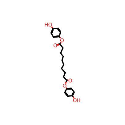 O=C(CCCCCCCCC(=O)Oc1ccc(O)cc1)Oc1ccc(O)cc1